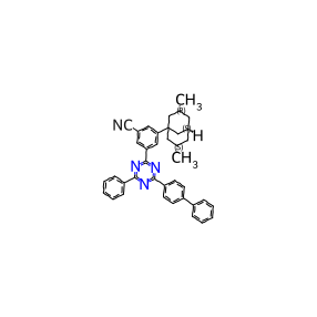 C[C@@H]1C[C@@H]2C[C@H](C)CC(c3cc(C#N)cc(-c4nc(-c5ccccc5)nc(-c5ccc(-c6ccccc6)cc5)n4)c3)(C1)C2